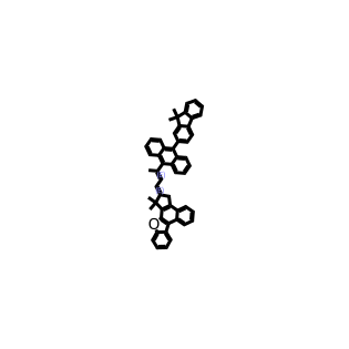 C/C(=C\C=C1/Cc2c(c3oc4ccccc4c3c3ccccc23)C1(C)C)c1c2ccccc2c(-c2ccc3c(c2)C(C)(C)c2ccccc2-3)c2ccccc12